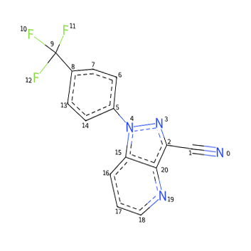 N#Cc1nn(-c2ccc(C(F)(F)F)cc2)c2cccnc12